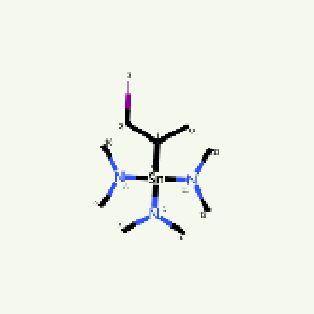 C[CH](CI)[Sn]([N](C)C)([N](C)C)[N](C)C